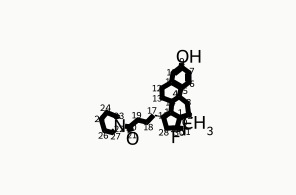 C[C@]12CCC3c4ccc(O)cc4CCC3C1[C@@H](CCCC(=O)N1CCCCC1)CC2(F)F